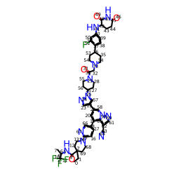 CCC1(C(=O)NC(C)C(F)(F)F)CCN(c2ccc(-c3cc(-c4cnn(C5CCN(C(=O)CN6CCC(c7ccc(NC8CCC(=O)NC8=O)cc7F)CC6)CC5)c4)cn4ncc(C#N)c34)cn2)CC1